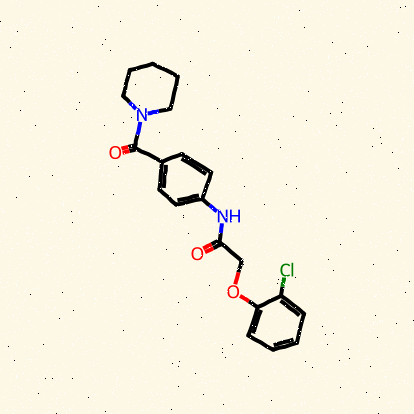 O=C(COc1ccccc1Cl)Nc1ccc(C(=O)N2CCCCC2)cc1